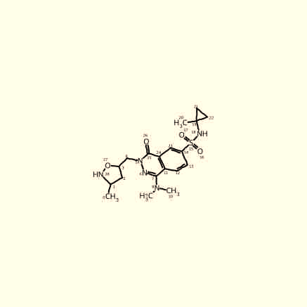 CC1CC(Cn2nc(N(C)C)c3ccc(S(=O)(=O)NC4(C)CC4)cc3c2=O)ON1